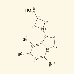 CC(C)(C)C1=NC(C(C)(C)C)C(C(C)(C)C)=C2C(N3CC(C(=O)O)C3)CCN12